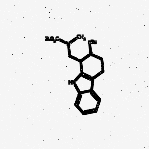 CCCCN1CCc2c([nH]c3ccccc23)C1CN(C)C(=O)OCC